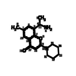 Cc1cc([C@@H](C)N)c2oc(N3CCCCC3)cc(=O)c2c1